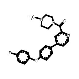 CN1CCN(C(=O)c2cc(-c3ccc(Oc4ccc(F)cc4)cc3)ccn2)CC1